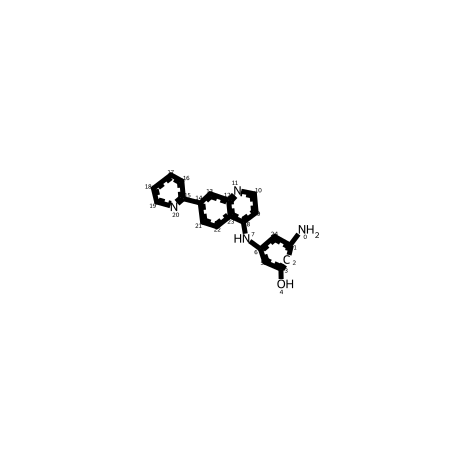 Nc1cc(O)cc(Nc2ccnc3cc(-c4ccccn4)ccc23)c1